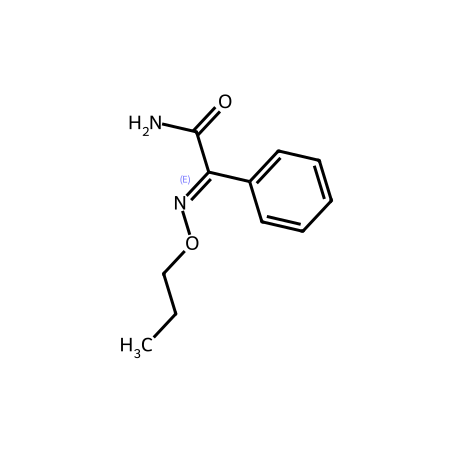 CCCO/N=C(/C(N)=O)c1ccccc1